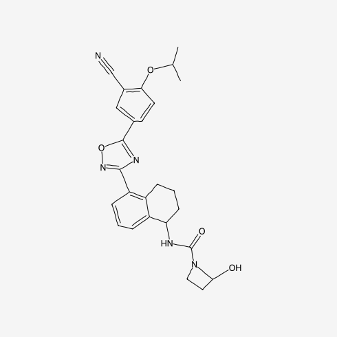 CC(C)Oc1ccc(-c2nc(-c3cccc4c3CCCC4NC(=O)N3CCC3O)no2)cc1C#N